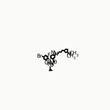 Cc1cc(Br)ccc1Nc1c(C(=O)NOCC2CC2)cc2c(ncn2CCCCC2CCC(N(C)C)C2)c1F